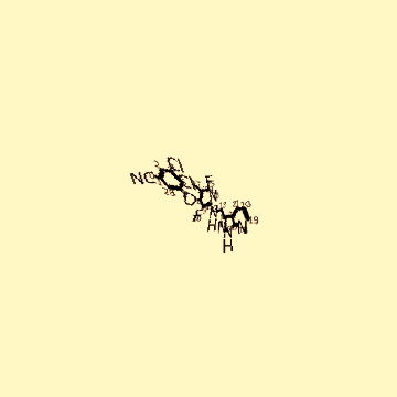 N#Cc1cc(Cl)cc(Oc2c(F)c(NCc3n[nH]c4ncccc34)nc(F)c2Cl)c1